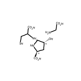 NC(CS)C(=O)O.NCC(=O)O.O=C(O)[C@@H]1C[C@@H](O)CN1